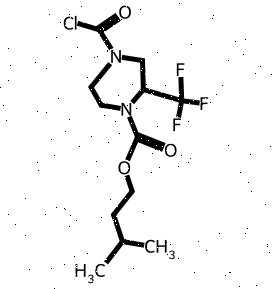 CC(C)CCOC(=O)N1CCN(C(=O)Cl)CC1C(F)(F)F